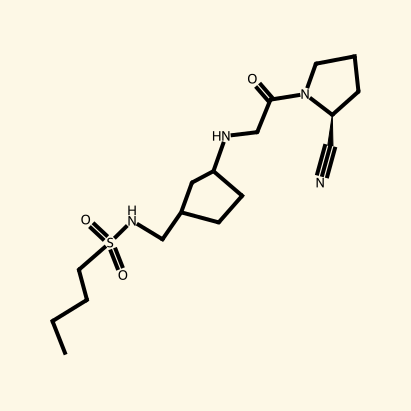 CCCCS(=O)(=O)NCC1CCC(NCC(=O)N2CCC[C@H]2C#N)C1